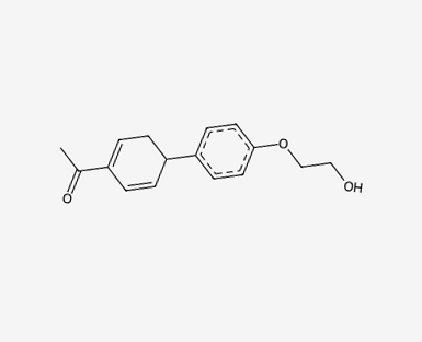 CC(=O)C1=CCC(c2ccc(OCCO)cc2)C=C1